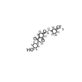 O=c1c(-c2ccc(O)cc2)coc2cc(OCCc3cccc(C(F)(F)F)c3)ccc12